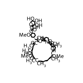 CO[C@H]1C[C@@H]2CC[C@@H](C)[C@@](O)(O2)C(=O)C(=O)N2CCCC[C@H]2C(=O)O[C@H]([C@H](C)C[C@H]2CC[C@@H](OC(=O)O[C@@]3(O)OC[C@H](O)C(O)[C@@H]3O)[C@H](OC)C2)CC(=O)[C@H](C)/C=C(\C)[C@@H](O)[C@@H](OC)C(=O)[C@H](C)C[C@H](C)/C=C/C=C/C=C/1C